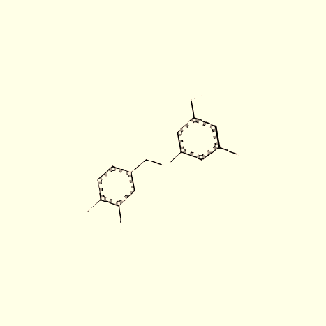 O=Cc1cc(Cl)cc(OCc2ccc(F)c(Cl)c2)c1